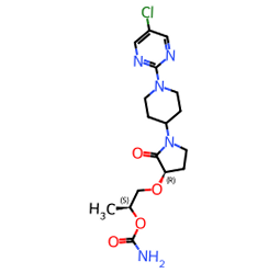 C[C@@H](CO[C@@H]1CCN(C2CCN(c3ncc(Cl)cn3)CC2)C1=O)OC(N)=O